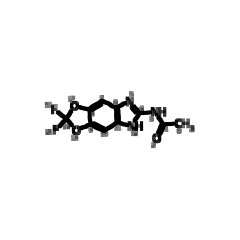 CC(=O)Nc1nc2cc3c(cc2[nH]1)OC(F)(F)O3